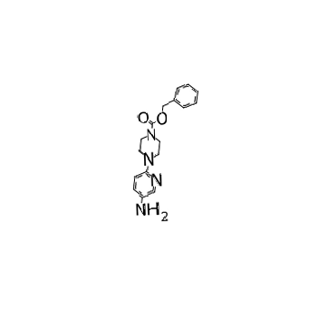 Nc1ccc(N2CCN(C(=O)OCc3ccccc3)CC2)nc1